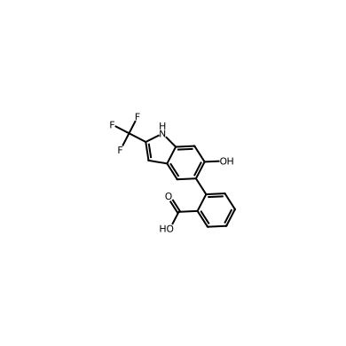 O=C(O)c1ccccc1-c1cc2cc(C(F)(F)F)[nH]c2cc1O